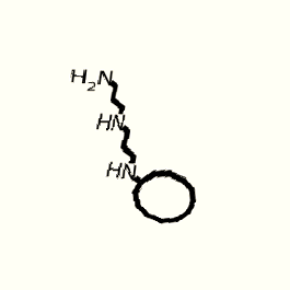 NCCCNCCCNC1CCCCCCCCCCC1